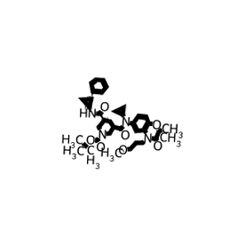 COCCCN1C(=O)C(C)(C)Oc2ccc(N(C(=O)C3C[C@H](C(=O)N[C@H]4C[C@@H]4c4ccccc4)CN(C(=O)OC(C)(C)C)C3)C3CC3)cc21